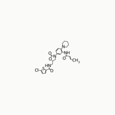 C/C=C/C(=O)Nc1cc(N2CC(CNC(=O)c3ccc(Cl)s3)OC2=O)ccc1N1CCCCC1